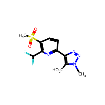 Cn1nnc(-c2ccc(S(C)(=O)=O)c(C(F)F)n2)c1C(=O)O